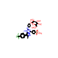 Cc1nn2c(-c3ccc(S(=O)(=O)O)cc3)n/c(=N\c3ccc(OC4OC(CO)C(O)C(O)C4O)cc3)[nH]c2c1-c1ccc(C(F)(F)F)cc1